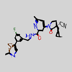 Cc1cc(N2CC[C@@](C#N)(C3CC3)C2=O)cc(C(=O)NCc2cc(F)cc(-c3cnc(C)s3)c2)n1